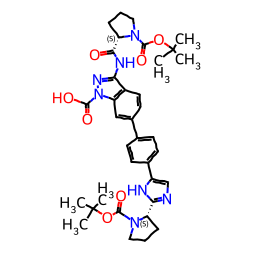 CC(C)(C)OC(=O)N1CCC[C@H]1C(=O)Nc1nn(C(=O)O)c2cc(-c3ccc(-c4cnc([C@@H]5CCCN5C(=O)OC(C)(C)C)[nH]4)cc3)ccc12